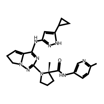 Cc1ccc(NC(=O)[C@]2(C)CCCN2C2=NN3CCC=C3C(Nc3cc(C4CC4)[nH]n3)=N2)cn1